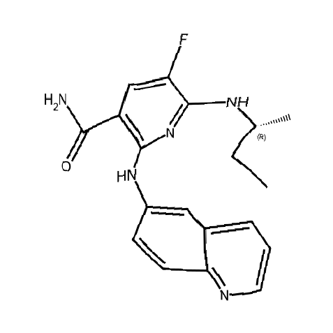 CC[C@@H](C)Nc1nc(Nc2ccc3ncccc3c2)c(C(N)=O)cc1F